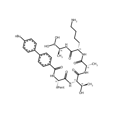 CCCCC[C@H](NC(=O)c1ccc(-c2ccc(CCCC)cc2)cc1)C(=O)N[C@H](C(=O)N[C@@H](C)C(=O)N[C@@H](CCCCN)C(=O)N[C@@H](C)B(O)O)[C@@H](C)O